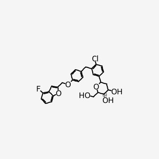 OCC1OC(c2ccc(Cl)c(Cc3ccc(OCc4cc5c(F)cccc5o4)cc3)c2)CC(O)[C@@H]1O